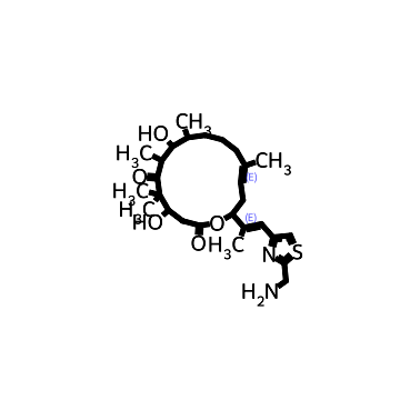 C/C1=C\CC(/C(C)=C/c2csc(CN)n2)OC(=O)CC(O)C(C)(C)C(=O)C(C)C(O)C(C)CCC1